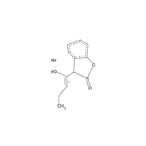 CC/C=C(\O)C1C(=O)Oc2ccccc21.[Na]